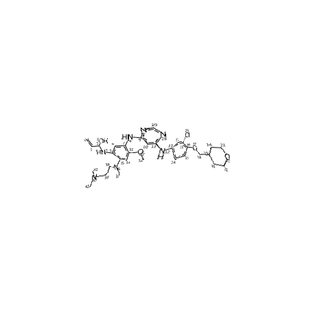 C=CC(O)Nc1cc(Nc2cc(Nc3ccc(OCC4CCOCC4)c(Cl)c3)ncn2)c(OC)cc1N(C)CCN(C)C